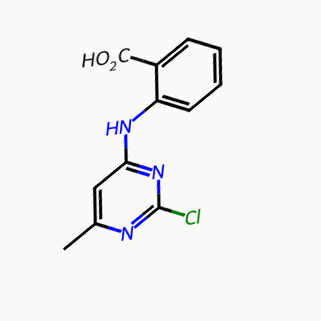 Cc1cc(Nc2ccccc2C(=O)O)nc(Cl)n1